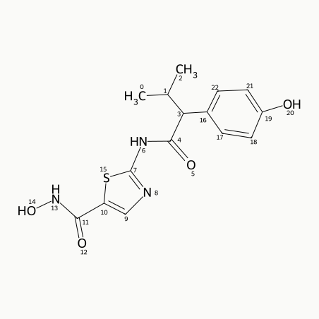 CC(C)C(C(=O)Nc1ncc(C(=O)NO)s1)c1ccc(O)cc1